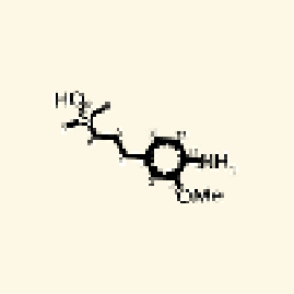 COc1cc(CCC[Si](C)(C)O)ccc1N